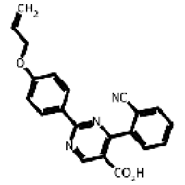 C=CCOc1ccc(-c2ncc(C(=O)O)c(-c3ccccc3C#N)n2)cc1